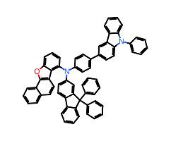 c1ccc(-n2c3ccccc3c3cc(-c4ccc(N(c5ccc6c(c5)C(c5ccccc5)(c5ccccc5)c5ccccc5-6)c5cccc6oc7c8ccccc8ccc7c56)cc4)ccc32)cc1